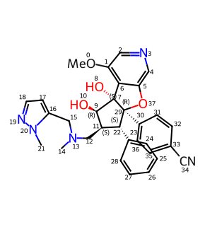 COc1cncc2c1[C@]1(O)[C@H](O)[C@H](CN(C)Cc3ccnn3C)[C@@H](c3ccccc3)[C@]1(c1ccc(C#N)cc1)O2